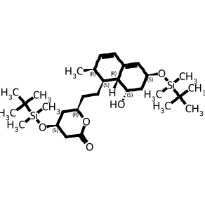 C[C@H]1C=CC2=C[C@@H](O[Si](C)(C)C(C)(C)C)C[C@H](O)[C@@H]2[C@H]1CC[C@@H]1C[C@H](O[Si](C)(C)C(C)(C)C)CC(=O)O1